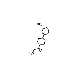 N#C[C@@H]1CCCN(C2CCN(C(=O)CN)CC2)C1